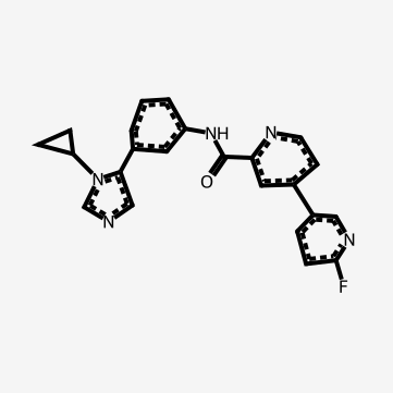 O=C(Nc1cccc(-c2cncn2C2CC2)c1)c1cc(-c2ccc(F)nc2)ccn1